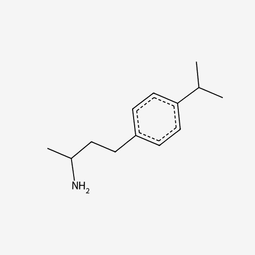 CC(N)CCc1ccc(C(C)C)cc1